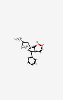 O=C(O)C(Cc1cc(-c2ccccc2)c2cccoc1-2)C(=O)O